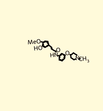 COc1ccc(/C=C/C(=O)Nc2cccc(OC3CCN(C)CC3)c2)cc1O